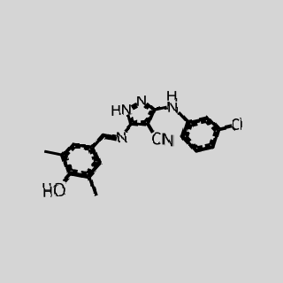 Cc1cc(/C=N/c2[nH]nc(Nc3cccc(Cl)c3)c2C#N)cc(C)c1O